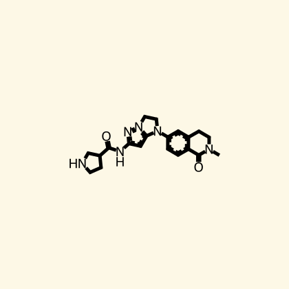 CN1CCc2cc(N3CCn4nc(NC(=O)C5CCNC5)cc43)ccc2C1=O